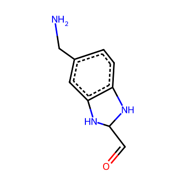 NCc1ccc2c(c1)NC(C=O)N2